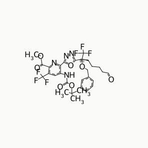 COC(=O)c1nc(-c2nnc([C@@](CCCCC=O)(OCc3ccccc3)C(F)(F)F)o2)c(NC(=O)OC(C)(C)C)cc1C(F)(F)F